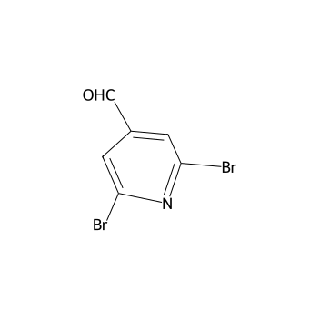 O=Cc1cc(Br)nc(Br)c1